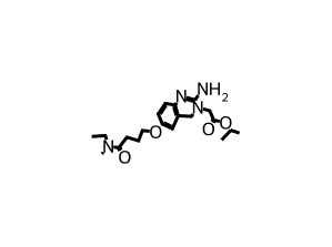 CCN(C)C(=O)CCCOc1ccc2c(c1)CN(CC(=O)OC(C)C)C(N)=N2